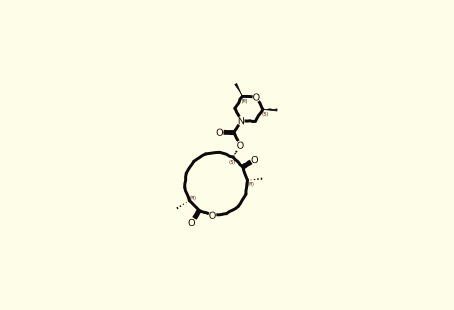 C[C@@H]1CN(C(=O)O[C@H]2CCCCC[C@@H](C)C(=O)OCCC[C@@H](C)C2=O)C[C@H](C)O1